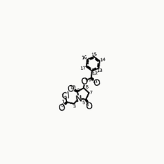 O=C(Cl)CN1C(=O)CC(OC(=O)c2ccccc2)C1=O